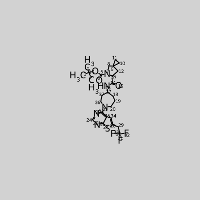 CC(C)(C)OC(=O)N1CC2(CC2)C[C@H]1C(=O)NC1CCCN(c2ncnc3sc(CC(F)(F)F)cc23)CC1